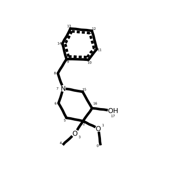 COC1(OC)CCN(Cc2ccccc2)CC1O